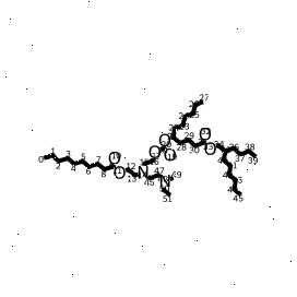 CCCCCCCCCC(=O)OCCN(CCOC(=O)OC(CCCCCC)CCCC(=O)OCC(CCCC)CCCCCC)CCN(C)CC